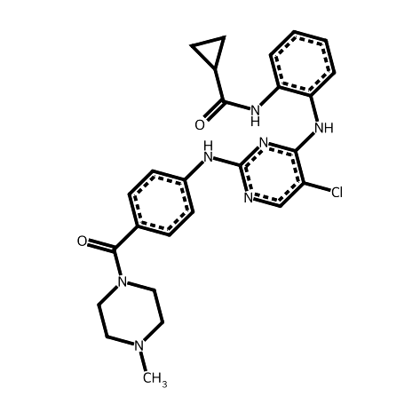 CN1CCN(C(=O)c2ccc(Nc3ncc(Cl)c(Nc4ccccc4NC(=O)C4CC4)n3)cc2)CC1